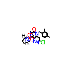 Cc1ccc(Cn2c(=O)nc(N3C[C@H]4CC[C@@](C)(C3)N4C(=O)OC(C)(C)C)c3nnc(Cl)cc32)c(C)c1